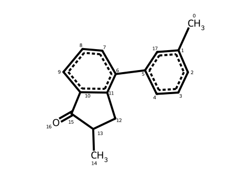 Cc1cccc(-c2cccc3c2CC(C)C3=O)c1